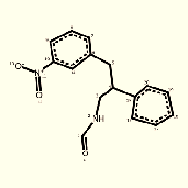 O=CNCC(Cc1cccc([N+](=O)[O-])c1)c1ccccc1